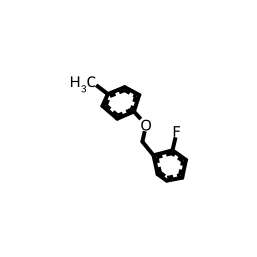 Cc1ccc(OCc2ccccc2F)cc1